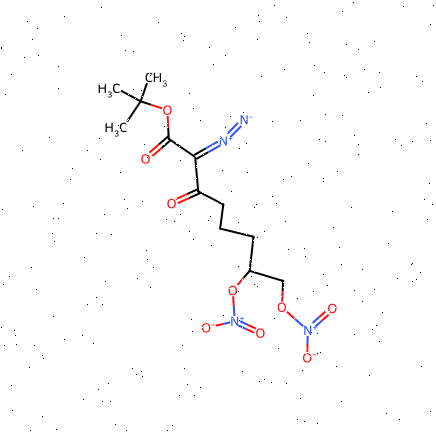 CC(C)(C)OC(=O)C(=[N+]=[N-])C(=O)CCCC(CO[N+](=O)[O-])O[N+](=O)[O-]